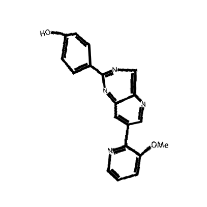 COc1cccnc1-c1cnc2cnc(-c3ccc(O)cc3)nc2c1